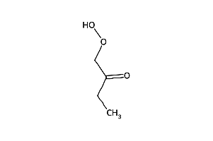 CCC(=O)COO